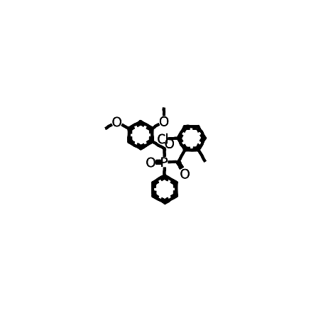 COc1ccc(C(=O)P(=O)(C(=O)c2c(C)cccc2Cl)c2ccccc2)c(OC)c1